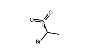 CC(Br)[SH](=O)=O